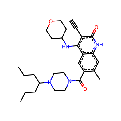 C#Cc1c(NC2CCOCC2)c2cc(C(=O)N3CCN(C(CCC)CCC)CC3)c(C)cc2[nH]c1=O